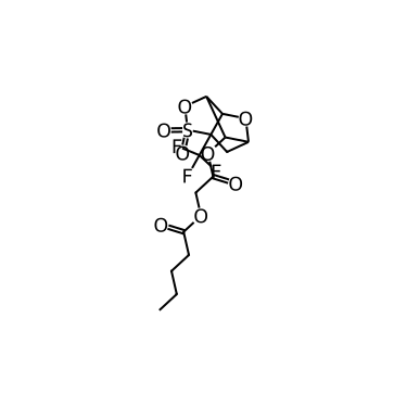 CCCCC(=O)OCC(=O)OC1C2CC3(C(F)(F)F)C(O2)C1OS3(=O)=O